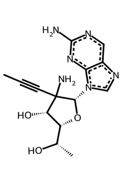 CC#CC1(N)[C@@H](O)[C@@H]([C@H](C)O)O[C@H]1n1cnc2cnc(N)nc21